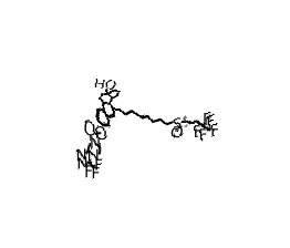 CC12CCC3c4ccc(OC(=O)N5CCn6c(nnc6C(F)(F)F)C5)cc4CC(CCCCCCCCC[S+]([O-])CCCC(F)(F)C(F)(F)F)C3C1CCC2O